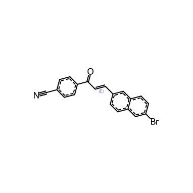 N#Cc1ccc(C(=O)/C=C/c2ccc3cc(Br)ccc3c2)cc1